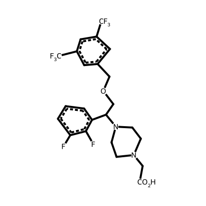 O=C(O)CN1CCN(C(COCc2cc(C(F)(F)F)cc(C(F)(F)F)c2)c2cccc(F)c2F)CC1